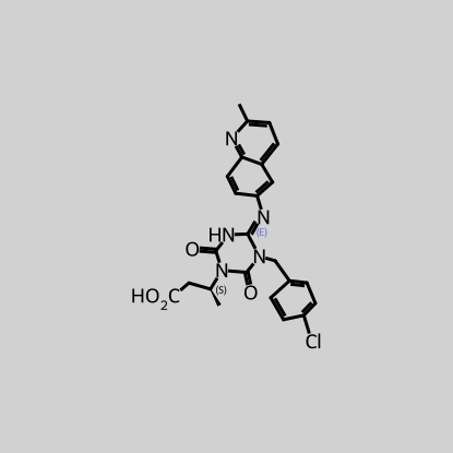 Cc1ccc2cc(/N=c3\[nH]c(=O)n([C@@H](C)CC(=O)O)c(=O)n3Cc3ccc(Cl)cc3)ccc2n1